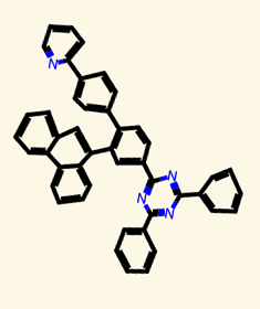 c1ccc(-c2nc(-c3ccccc3)nc(-c3ccc(-c4ccc(-c5ccccn5)cc4)c(-c4cc5ccccc5c5ccccc45)c3)n2)cc1